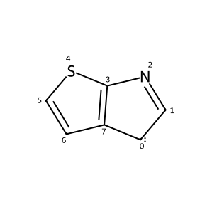 [C]1C=Nc2sccc21